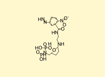 N=Nc1ccc([N+](=O)[O-])c(C(=O)NCCNC2CCC(CN([PH](=O)O)P(=O)(O)O)O2)c1